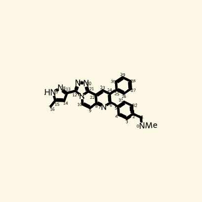 CNCc1ccc(-c2nc3ccn4c(-c5cc(C)[nH]n5)nnc4c3cc2-c2ccccc2)cc1